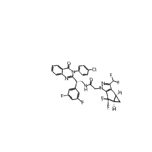 O=C(Cn1nc(C(F)F)c2c1C(F)(F)[C@@H]1C[C@H]21)NC[C@H](c1cc(F)cc(F)c1)c1nc2ccccc2c(=O)n1-c1ccc(Cl)cc1